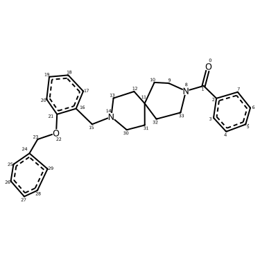 O=C(c1cc[c]cc1)N1CCC2(CCN(Cc3ccccc3OCc3ccccc3)CC2)CC1